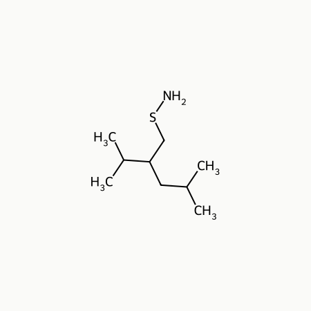 CC(C)CC(CSN)C(C)C